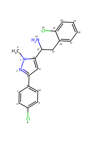 Cn1nc(-c2ccc(Cl)cc2)cc1C(N)Cc1ccccc1Cl